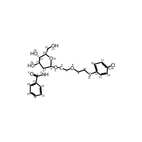 O=C(N[C@H]1[C@H](OCCOCCSc2ccc(Cl)cc2)O[C@H](CO)[C@@H](O)[C@@H]1O)c1ccccc1